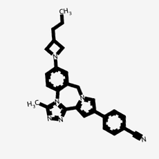 CCCC1CN(c2ccc3c(c2)Cn2cc(-c4ccc(C#N)cc4)cc2-c2nnc(C)n2-3)C1